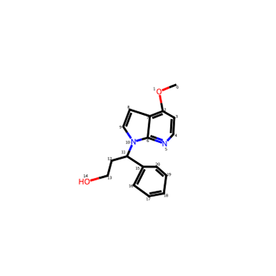 COc1ccnc2c1ccn2C(CCO)c1ccccc1